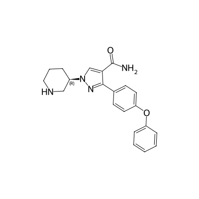 NC(=O)c1cn([C@@H]2CCCNC2)nc1-c1ccc(Oc2ccccc2)cc1